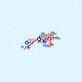 Cc1cc(OC[C@H](O)CN(CCC(N)=O)Cc2ccccc2)ccc1Cc1c(O[C@@H]2O[C@H](COC(=O)C(C)(C)C)[C@@H](OC(=O)C(C)(C)C)[C@H](OC(=O)C(C)(C)C)[C@H]2OC(=O)C(C)(C)C)n[nH]c1C(C)C